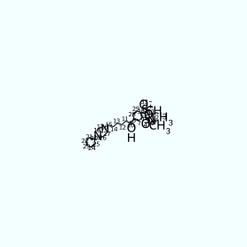 CN(C)S(=O)(=O)c1cc(C(O)CCCCCN2CCN(c3ccccc3)CC2)ccc1[S+](C)[O-]